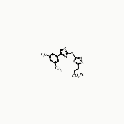 CCOC(=O)CCc1nnc(Sc2nc(-c3cc(C(F)(F)F)cc(C(F)(F)F)c3)cs2)s1